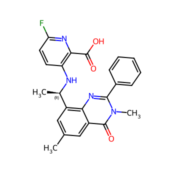 Cc1cc([C@@H](C)Nc2ccc(F)nc2C(=O)O)c2nc(-c3ccccc3)n(C)c(=O)c2c1